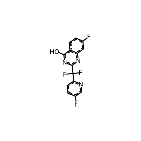 Oc1nc(C(F)(F)c2ccc(F)cn2)nc2cc(F)ccc12